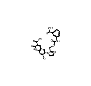 O=C(Nc1cccc(C(=O)O)c1)OCc1nccn1-c1cc2cc(C(=O)O)c(=O)[nH]c2cc1Cl